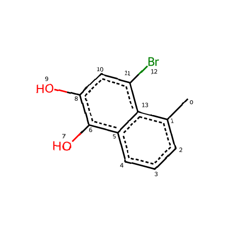 Cc1cccc2c(O)c(O)cc(Br)c12